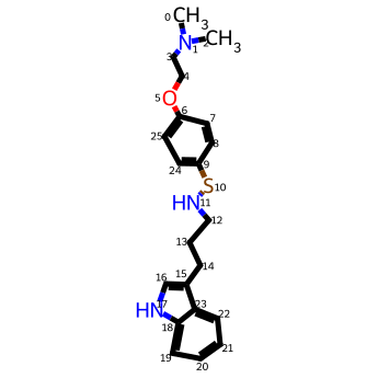 CN(C)CCOc1ccc(SNCCCc2c[nH]c3ccccc23)cc1